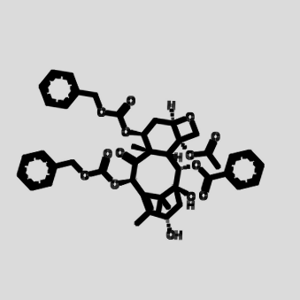 CC(=O)O[C@@]12CO[C@@H]1C[C@H](OC(=O)OCc1ccccc1)[C@@]1(C)C(=O)[C@H](OC(=O)OCc3ccccc3)C3=C(C)[C@@H](O)C[C@@](O)([C@@H](OC(=O)c4ccccc4)[C@H]21)C3(C)C